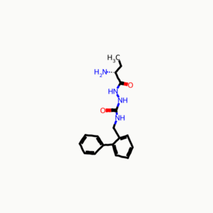 CC[C@@H](N)C(=O)NNC(=O)NCc1ccccc1-c1ccccc1